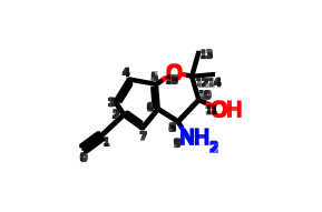 C#Cc1ccc2c(c1)C(N)C(O)C(C)(C)O2